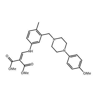 COC(=O)C(=CNc1ccc(C)c(CN2CCN(c3ccc(OC)cc3)CC2)c1)C(=O)OC